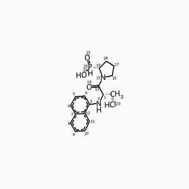 C[C@H](Nc1cccc2ccccc12)C(=O)N1CCC[C@H]1[PH](=O)O.Cl